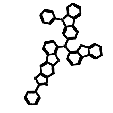 c1ccc(-c2nc3cc4oc5c(N(c6ccc7c8ccccc8n(-c8ccccc8)c7c6)c6cccc7c6sc6ccccc67)cccc5c4cc3o2)cc1